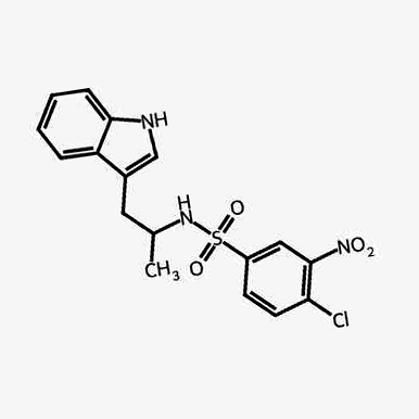 CC(Cc1c[nH]c2ccccc12)NS(=O)(=O)c1ccc(Cl)c([N+](=O)[O-])c1